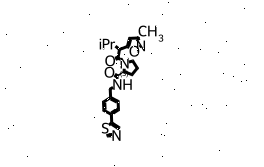 Cc1cc(C(C(=O)N2CCC[C@H]2C(=O)NCc2ccc(-c3cncs3)cc2)C(C)C)on1